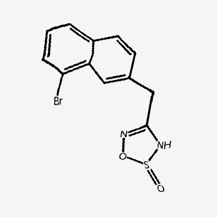 O=S1NC(Cc2ccc3cccc(Br)c3c2)=NO1